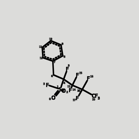 O=S(=O)(F)C(F)(Cc1ccccc1)C(F)(F)C(F)(F)C(F)(F)F